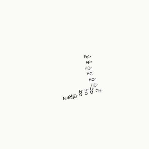 [Al+3].[Fe+2].[Mn+2].[Ni+2].[OH-].[OH-].[OH-].[OH-].[OH-].[OH-].[OH-].[OH-].[OH-]